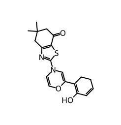 CC1(C)CC(=O)c2sc(N3C=COC(C4=C(O)C=CCC4)=C3)nc2C1